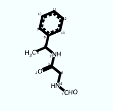 CC(NC(=O)CNC=O)c1ccccc1